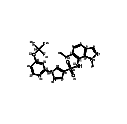 CCc1ccc2cnn(C)c2c1NS(=O)(=O)c1cnn(-c2cc(OC(F)(F)F)ccn2)c1